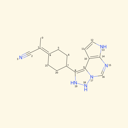 CC(C#N)=C1CCC(C2=C3c4cc[nH]c4N=CN3NN2)CC1